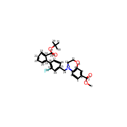 COC(=O)c1ccc2c(c1)OCCN2Cc1ccc(-c2ccccc2C(=O)OC(C)(C)C)c(F)c1